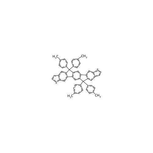 Cc1ccc(C2(c3ccc(C)cc3)c3cc4c(cc3-c3cc5sccc5cc32)C(c2ccc(C)cc2)(c2ccc(C)cc2)c2cc3ccsc3cc2-4)cc1